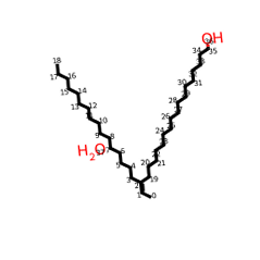 CC=C(CCCCCCCCCCCCCCCC)CCCCCCCCCCCCCCCCCO.O